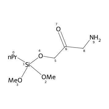 CCC[Si](OC)(OC)OCC(=O)CN